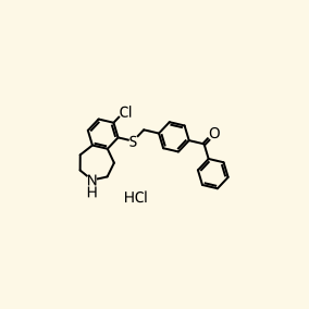 Cl.O=C(c1ccccc1)c1ccc(CSc2c(Cl)ccc3c2CCNCC3)cc1